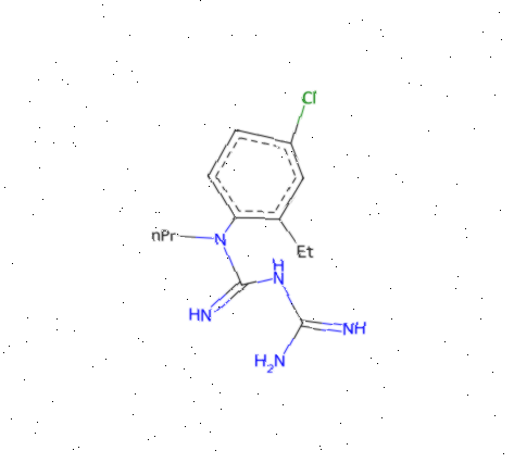 CCCN(C(=N)NC(=N)N)c1ccc(Cl)cc1CC